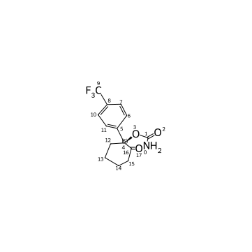 NC(=O)O[C@]1(c2ccc(C(F)(F)F)cc2)CCCCC1=O